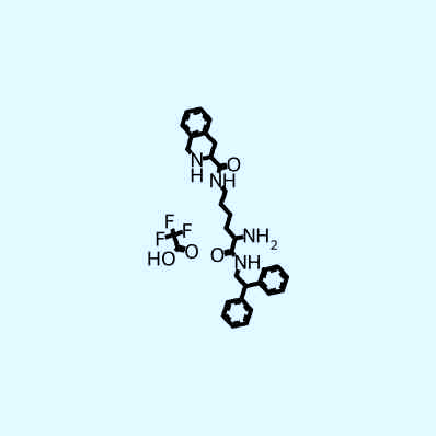 NC(CCCCNC(=O)C1Cc2ccccc2CN1)C(=O)NCC(c1ccccc1)c1ccccc1.O=C(O)C(F)(F)F